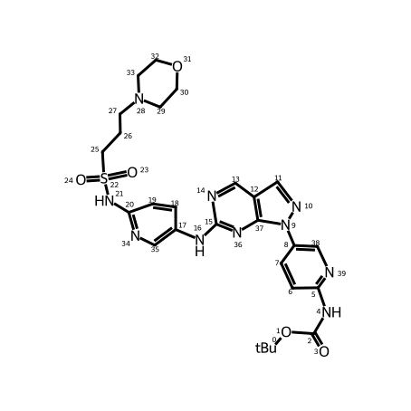 CC(C)(C)OC(=O)Nc1ccc(-n2ncc3cnc(Nc4ccc(NS(=O)(=O)CCCN5CCOCC5)nc4)nc32)cn1